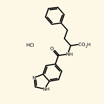 Cl.O=C(NC(CCc1ccccc1)C(=O)O)c1ccc2[nH]cnc2c1